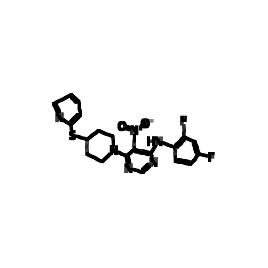 O=[N+]([O-])c1c(Nc2ccc(F)cc2F)ncnc1N1CCC(Sc2ccccn2)CC1